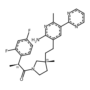 Cc1nc(N)c(CC[C@]2(C)CCN(C(=O)[C@@H](C)c3ccc(F)cc3F)C2)cc1-c1ncccn1